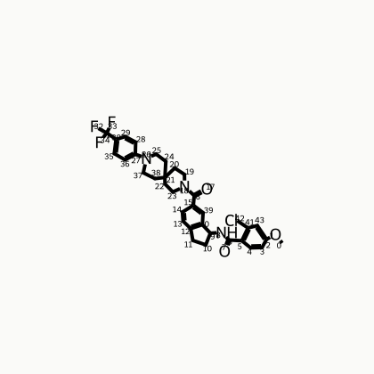 COc1ccc(C(=O)NC2CCc3ccc(C(=O)N4CCC5(CC4)CCN(c4ccc(C(F)(F)F)cc4)CC5)cc32)c(Cl)c1